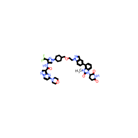 Cn1c(=O)n(C2CCC(=O)NC2=O)c2cccc(-c3ccc4c(cnn4CCOCC4CCC(n5cc(NC(=O)c6cnn7ccc(N8CCOCC8)nc67)c(C(F)F)n5)CC4)c3)c21